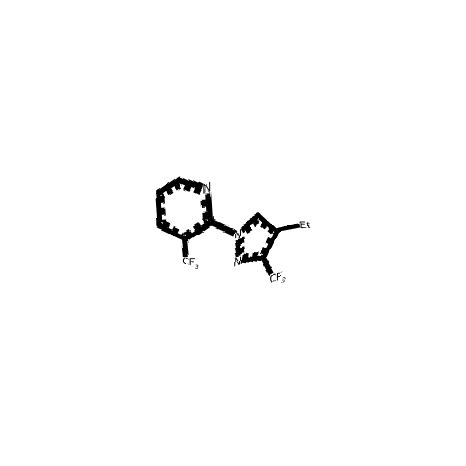 CCc1cn(-c2ncccc2C(F)(F)F)nc1C(F)(F)F